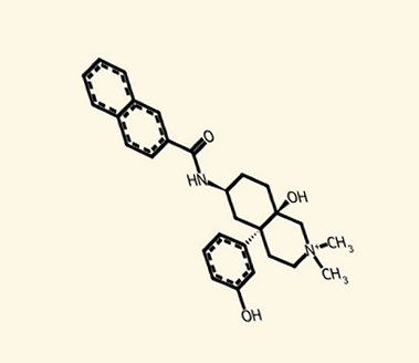 C[N+]1(C)CC[C@@]2(c3cccc(O)c3)C[C@@H](NC(=O)c3ccc4ccccc4c3)CC[C@]2(O)C1